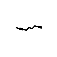 C#CCCC[CH]C#C[CH2]